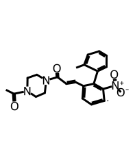 CC(=O)N1CCN(C(=O)/C=C/c2cc[c]c([N+](=O)[O-])c2-c2ccccc2C)CC1